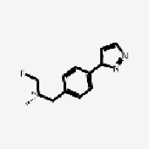 C[C@H](CF)Cc1ccc(C2C=CN=N2)cc1